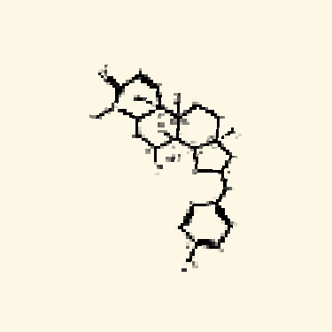 CN1C(=O)C=C[C@@]2(C)C1CC(O)[C@@H]1[C@H]2CC[C@]2(C)CC(Cc3ccc(Cl)cc3)C[C@@H]12